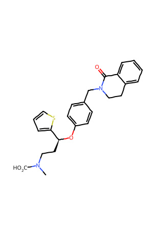 CN(CC[C@H](Oc1ccc(CN2CCc3ccccc3C2=O)cc1)c1cccs1)C(=O)O